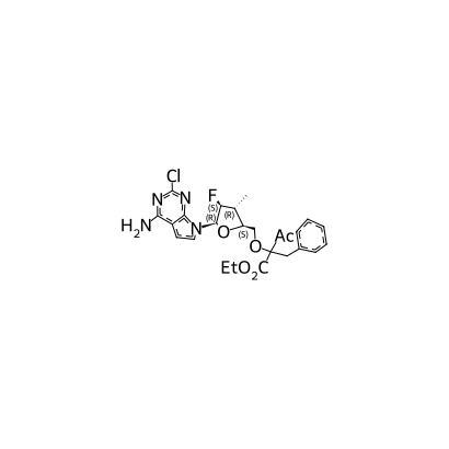 CCOC(=O)C(Cc1ccccc1)(OC[C@H]1O[C@@H](n2ccc3c(N)nc(Cl)nc32)[C@@H](F)[C@@H]1C)C(C)=O